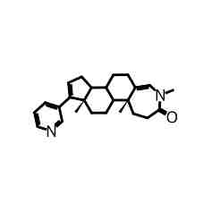 CN1C=C2CCC3C(CC[C@]4(C)C(c5cccnc5)=CCC34)[C@@]2(C)CCC1=O